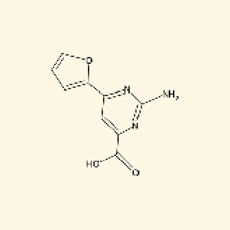 Nc1nc(C(=O)O)cc(-c2ccco2)n1